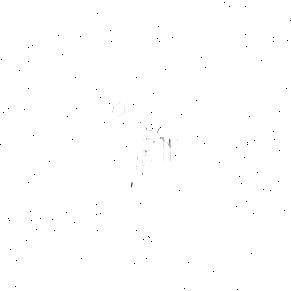 C#CCNC(=O)O[C@@H]1CC[C@H](C(=O)N2CCC(c3ccccc3)CC2)[C@@H](C(=O)NO)C1